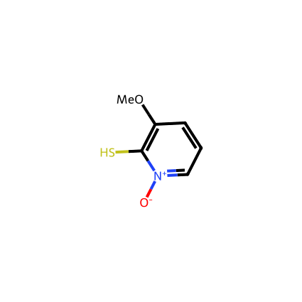 COc1ccc[n+]([O-])c1S